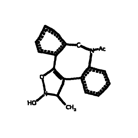 CC(=O)N1Cc2ccccc2C2=C(c3ccccc31)C(C)N(O)O2